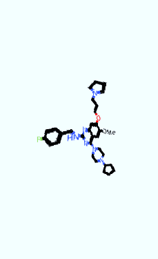 COc1cc2c(N3CCN(C4CCCC4)CC3)nc(NCc3ccc(F)cc3)nc2cc1OCCCN1CCCC1